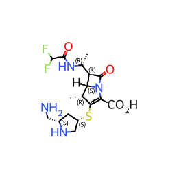 C[C@@H](NC(=O)C(F)F)[C@H]1C(=O)N2C(C(=O)O)=C(S[C@@H]3CN[C@H](CN)C3)[C@H](C)[C@H]12